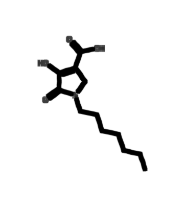 CCCCCCCN1CC(C(=O)O)=C(O)C1=O